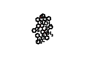 Cc1cc(-c2ccc(N(c3c(C)cccc3-c3ccc4sc5ccccc5c4c3)c3cc4ccccc4c4ccccc34)c(C)c2)ccc1N(c1c(C)cccc1-c1ccc2sc3ccccc3c2c1)c1cc2ccccc2c2ccccc12